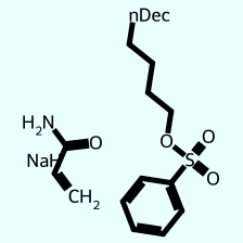 C=CC(N)=O.CCCCCCCCCCCCCCOS(=O)(=O)c1ccccc1.[NaH]